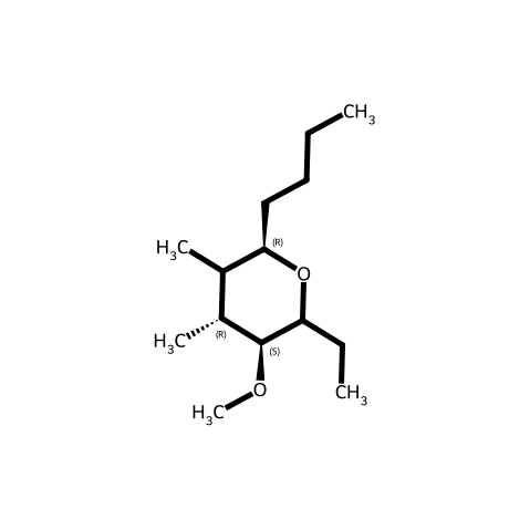 CCCC[C@H]1OC(CC)[C@@H](OC)[C@H](C)C1C